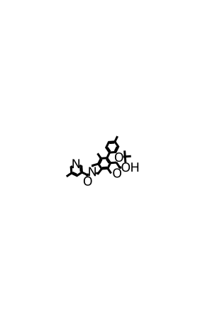 Cc1ccc(-c2c(C)c3c(c(C)c2C(OC(C)(C)C)C(=O)O)CN(C(=O)c2cncc(C)c2)C3)cc1